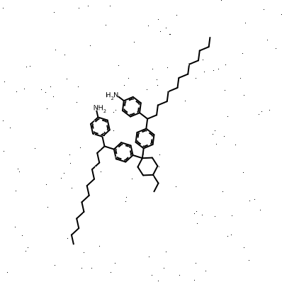 CCCCCCCCCCCCC(c1ccc(N)cc1)c1ccc(C2(c3ccc(C(CCCCCCCCCCCC)c4ccc(N)cc4)cc3)CCC(CC)CC2)cc1